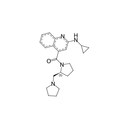 O=C(c1cc(NC2CC2)nc2ccccc12)N1CCC[C@H]1CN1CCCC1